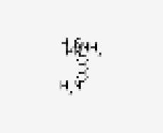 C=C(N)NC1CCC(CC2CCC(N)CC2)CC1